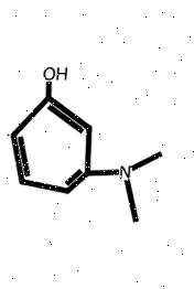 CN(C)c1cc[c]c(O)c1